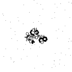 C[C@@H](C(=O)N[C@H]1CCO[C@H]2CC[C@H](C(=O)N[C@@H]3CCOc4ccccc43)N2C1=O)N(C)C(=O)OC(C)(C)C